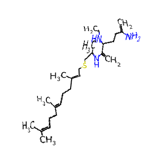 C=CNC(CCC(=C)N)C(=C)NC(C)CSC/C=C(\C)CC/C=C(\C)CCC=C(C)C